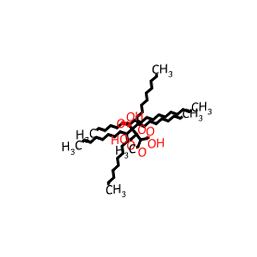 CCCCCCCCCC(CCCCCCCC)OC(C(=O)O)(C(C(C)=O)C(=O)O)C(C(=O)O)(C(CCCCCCCC)CCCCCCCCC)C(CCCCCCCC)CCCCCCCCC